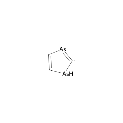 [C]1=[As]C=C[AsH]1